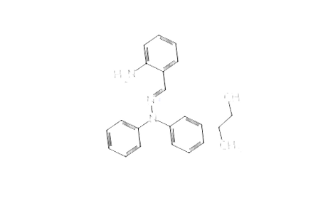 CCCC.Nc1ccccc1/C=N/N(c1ccccc1)c1ccccc1